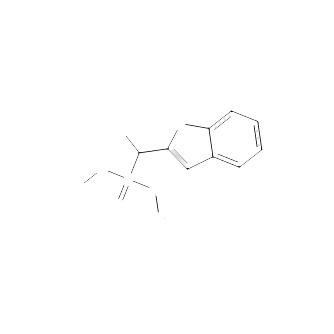 CCOP(=O)(OCC)C(F)c1cc2ccccc2s1